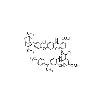 COc1ccc(Nc2ccc(N(C)c3ccc(C(F)(F)F)cc3)cc2C)c(C(=O)Oc2ccc(C(=O)O)c(Nc3ccc(Oc4ccc(C56CC7CC(C)(CC(C)(C7)C5)C6)cc4Cl)cc3C)c2)c1